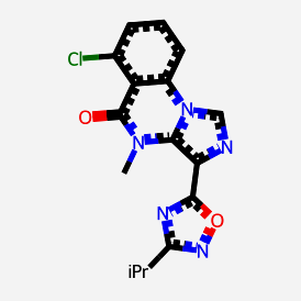 CC(C)c1noc(-c2ncn3c4cccc(Cl)c4c(=O)n(C)c23)n1